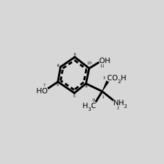 C[C@](N)(C(=O)O)c1cc(O)ccc1O